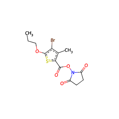 CCCOc1sc(C(=O)ON2C(=O)CCC2=O)c(C)c1Br